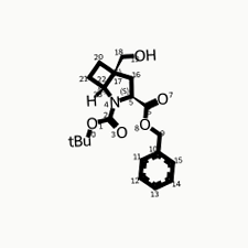 CC(C)(C)OC(=O)N1[C@H](C(=O)OCc2ccccc2)C[C@@]2(CO)CC[C@@H]12